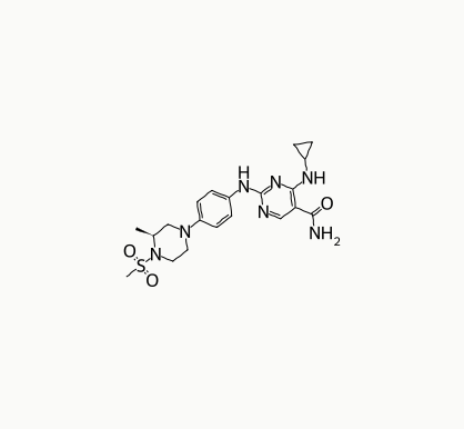 C[C@H]1CN(c2ccc(Nc3ncc(C(N)=O)c(NC4CC4)n3)cc2)CCN1S(C)(=O)=O